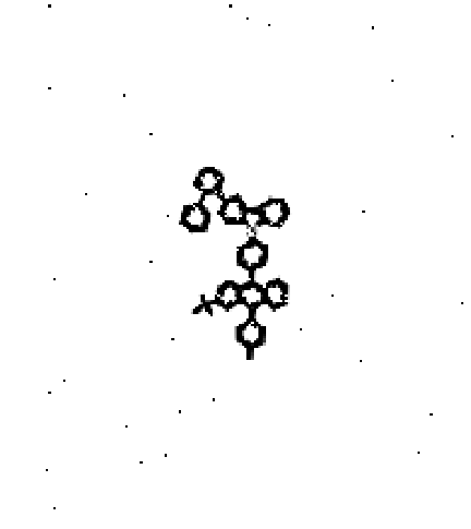 Cc1ccc(-c2c3ccccc3c(-c3ccc(-n4c5ccccc5c5cc(-c6ccccc6-c6ccccc6)ccc54)cc3)c3ccc(C(C)(C)C)cc23)cc1